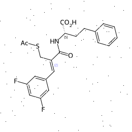 CC(=O)SC/C(=C\c1cc(F)cc(F)c1)C(=O)N[C@@H](CCc1ccccc1)C(=O)O